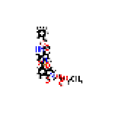 CCOC(=O)OCn1ccc2c(S(=O)(=O)N3CCC(NC(=O)OCc4ccccc4)C34CC4)cccc2c1=O